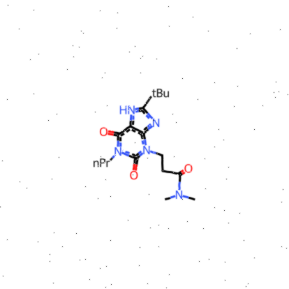 CCCn1c(=O)c2[nH]c(C(C)(C)C)nc2n(CCC(=O)N(C)C)c1=O